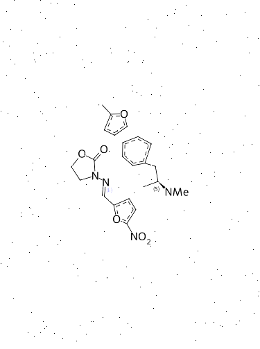 CN[C@@H](C)Cc1ccccc1.O=C1OCCN1/N=C/c1ccc([N+](=O)[O-])o1.[CH2]c1ccco1